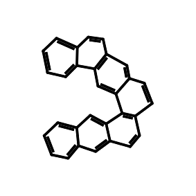 c1ccc2cc3c(ccc4ccc5cc6ccc7ccccc7c6cc5c43)cc2c1